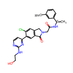 COc1cccc([C@@H](C)NC(=O)CN2Cc3cc(Cl)c(-c4ccnc(NCCO)n4)cc3C2=O)c1